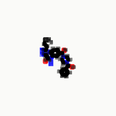 CCCc1nnc2c(=O)[nH]c3cc(C(=O)N4CCN(C(=O)c5ccccc5)CC4)ccc3n12